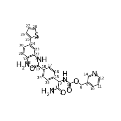 NC(=O)C(NC(=O)OCc1cccnc1)c1ccc(C(=O)Nc2cc(-c3cccs3)ccc2N)cc1